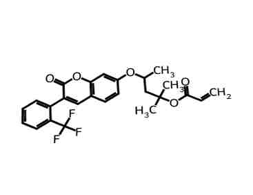 C=CC(=O)OC(C)(C)CC(C)Oc1ccc2cc(-c3ccccc3C(F)(F)F)c(=O)oc2c1